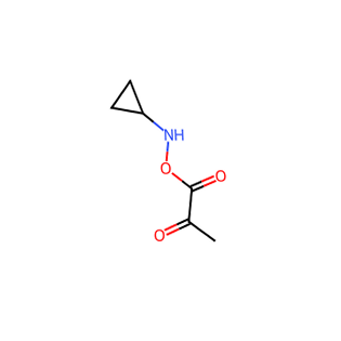 CC(=O)C(=O)ONC1CC1